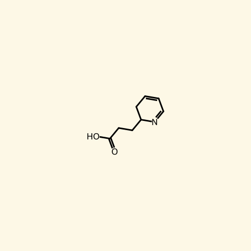 O=C(O)CCC1CC=CC=N1